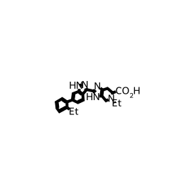 CCc1ccccc1-c1ccc2c(-c3nc4c([nH]3)CN(CC)C(C(=O)O)C4)n[nH]c2c1